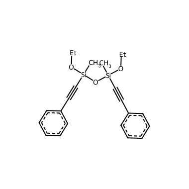 CCO[Si](C)(C#Cc1ccccc1)O[Si](C)(C#Cc1ccccc1)OCC